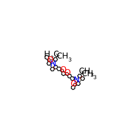 CC(C)c1ccc(N(c2ccc3cc4c(cc3c2)oc2c4ccc3c4cc5ccc(N(c6ccc(C(C)C)cc6)c6c(-c7ccccc7)ccc7c6oc6ccccc67)cc5cc4oc32)c2c(-c3ccccc3)ccc3c2oc2ccccc23)cc1